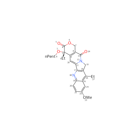 CCCCCO[C@]1(CC)C(=O)OCc2c1cc1n(c2=O)Cc2c-1nc1ccc(OC)cc1c2CC